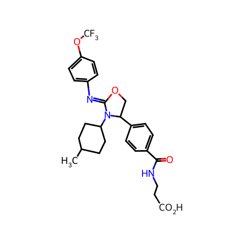 CC1CCC(N2C(=Nc3ccc(OC(F)(F)F)cc3)OCC2c2ccc(C(=O)NCCC(=O)O)cc2)CC1